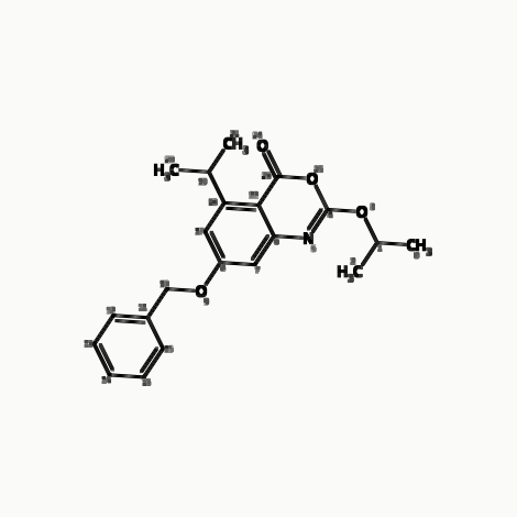 CC(C)Oc1nc2cc(OCc3ccccc3)cc(C(C)C)c2c(=O)o1